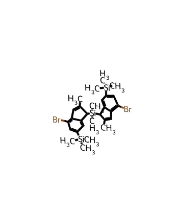 CC1=Cc2c(Br)cc([Si](C)(C)C)cc2C1[Si](C)(C)C1C(C)=Cc2c(Br)cc([Si](C)(C)C)cc21